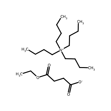 CCCC[N+](CCCC)(CCCC)CCCC.CCOC(=O)CCC(=O)[O-]